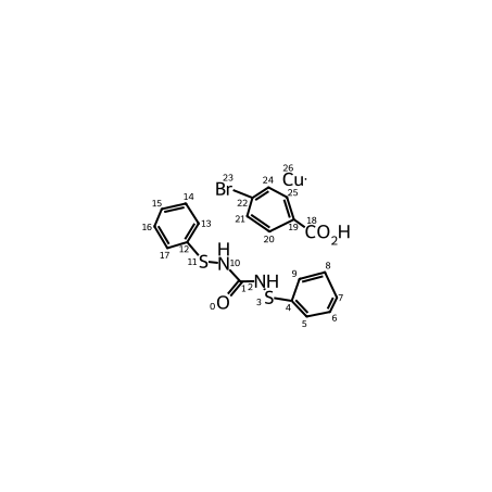 O=C(NSc1ccccc1)NSc1ccccc1.O=C(O)c1ccc(Br)cc1.[Cu]